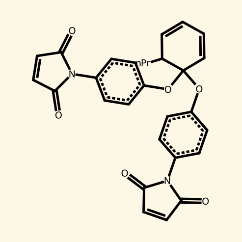 CCCC1C=CC=CC1(Oc1ccc(N2C(=O)C=CC2=O)cc1)Oc1ccc(N2C(=O)C=CC2=O)cc1